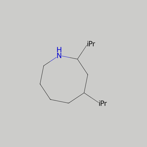 CC(C)C1CCCCNC(C(C)C)C1